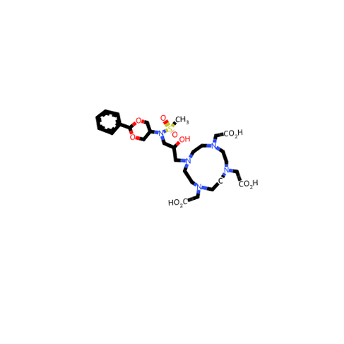 CS(=O)(=O)N(CC(O)CN1CCN(CC(=O)O)CCN(CC(=O)O)CCN(CC(=O)O)CC1)C1COC(c2ccccc2)OC1